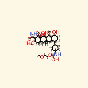 COCCOC(O)NC1CCC(C2CCC(O)C3C(=O)C4C(O)[C@]5(O)C(=O)C(C(N)=O)=C(O)C[C@@H]5C[C@@H]4CC23)CC1